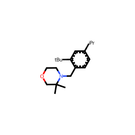 CC(C)c1ccc(CN2CCOCC2(C)C)c(C(C)(C)C)c1